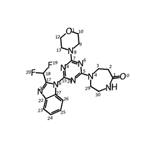 O=C1CCN(c2nc(N3CCOCC3)nc(-n3c(C(F)F)nc4ccccc43)n2)CCN1